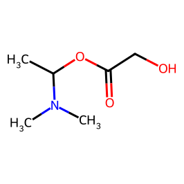 CC(OC(=O)CO)N(C)C